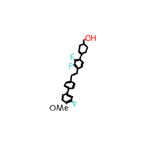 COc1ccc(-c2ccc(CCc3ccc(C4CCC(CO)CC4)c(F)c3F)cc2)cc1F